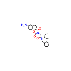 CCC(CC)N(Cc1ccccc1)C(=O)CN1C(=O)OC2(CCc3cc(N)ccc32)C1=O